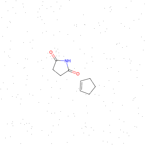 C1=CCCC1.O=C1CCC(=O)N1